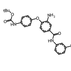 CC(C)(C)OC(=O)Nc1ccc(Oc2ccc(C(=O)Nc3cccc(Br)c3)cc2N)cc1